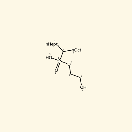 CCCCCCCCC(CCCCCCC)P(=O)(O)OCCO